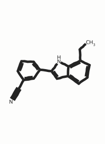 CCc1cccc2cc(-c3cccc(C#N)c3)[nH]c12